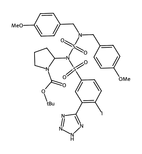 COc1ccc(CN(Cc2ccc(OC)cc2)S(=O)(=O)N(C2CCCN2C(=O)OC(C)(C)C)S(=O)(=O)c2ccc(I)c(-c3nn[nH]n3)c2)cc1